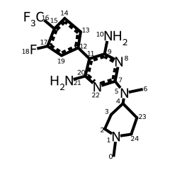 CN1CCC(N(C)c2nc(N)c(-c3ccc(C(F)(F)F)c(F)c3)c(N)n2)CC1